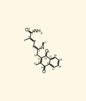 C=N/C(=C\C=C(/C)C(N)=O)CC1=C(C)C(=O)c2ccccc2C1=O